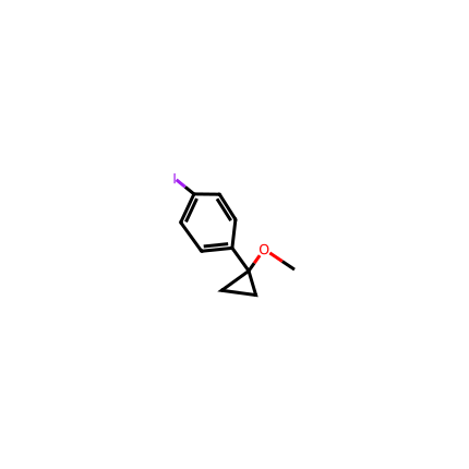 COC1(c2ccc(I)cc2)CC1